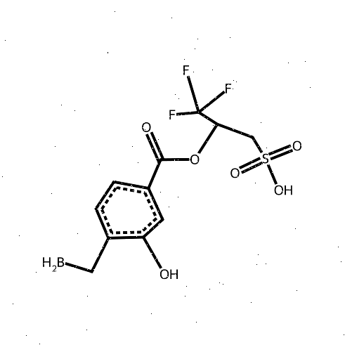 BCc1ccc(C(=O)OC(CS(=O)(=O)O)C(F)(F)F)cc1O